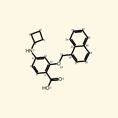 O=C(O)c1ccc(NC2CCC2)cc1OCc1cccc2ccccc12